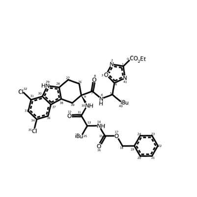 CCOC(=O)c1noc(C(NC(=O)[C@@]2(NC(=O)C(NC(=O)OCc3ccccc3)C(C)CC)CCc3[nH]c4c(Cl)cc(Cl)cc4c3C2)C(C)CC)n1